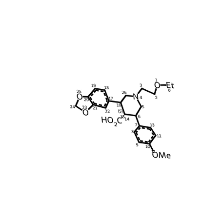 CCOCCN1CC(c2ccc(OC)cc2)[C@H](C(=O)O)C(c2ccc3c(c2)OCO3)C1